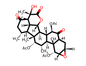 CC(=O)O[C@H]1C(=O)[C@H]2C[C@@H]3O[C@@H]3[C@H](OC(C)=O)[C@]2(C)[C@H]2[C@H](C)[C@H](OC(C)=O)[C@]3(C)[C@@H]4[C@H]5[C@H](OC(=O)[C@@](C)(O)[C@@]5(C)C(=O)C[C@H]4C)[C@H]3[C@@H]21